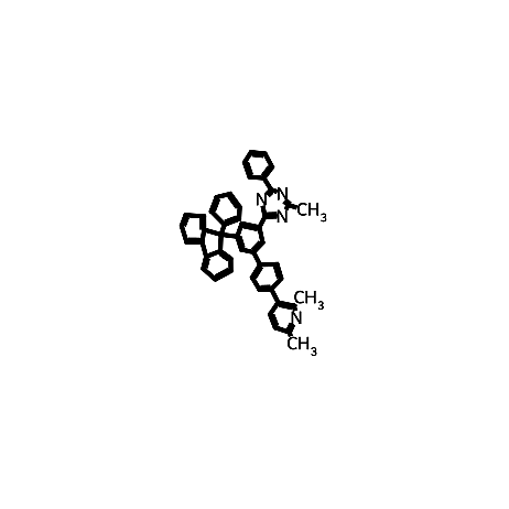 Cc1ccc(-c2ccc(-c3cc(-c4nc(C)nc(-c5ccccc5)n4)cc(C4(c5ccccc5)c5ccccc5-c5ccccc54)c3)cc2)c(C)n1